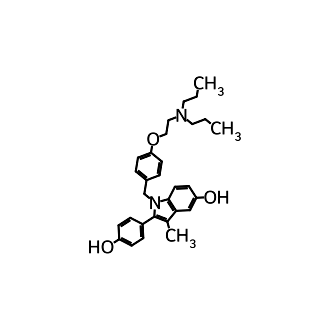 CCCN(CCC)CCOc1ccc(Cn2c(-c3ccc(O)cc3)c(C)c3cc(O)ccc32)cc1